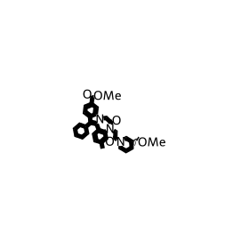 COC[C@@H]1CCCN(C(=O)CN2C(=O)Cn3c(c(C4CCCCC4)c4ccc(C(=O)OC)cc43)-c3ccc(C)cc32)C1